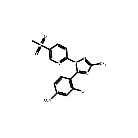 CS(=O)(=O)c1ccc(-n2nc(C(F)(F)F)nc2-c2ccc([N+](=O)[O-])cc2Cl)nc1